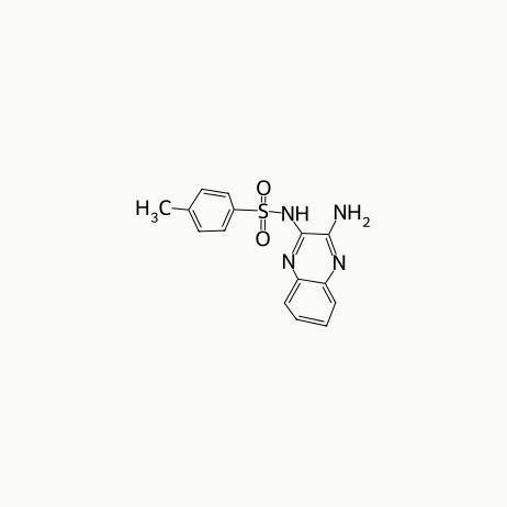 Cc1ccc(S(=O)(=O)Nc2nc3ccccc3nc2N)cc1